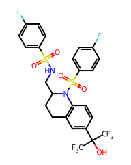 O=S(=O)(NCC1CCc2cc(C(O)(C(F)(F)F)C(F)(F)F)ccc2N1S(=O)(=O)c1ccc(F)cc1)c1ccc(F)cc1